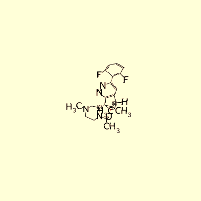 CC(=O)N1CCN(C)C[C@@H]1C12CC[C@@H](c3cc(-c4c(F)cccc4F)nnc31)C2(C)C